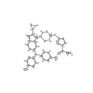 NC(=O)c1ccc(CN2CCC(n3c(C4CC4)nc4ccc(C(c5ccc(Cl)cc5)c5ccc(Cl)cc5)cc43)CC2)o1